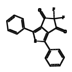 O=C1c2c(-c3ccccc3)sc(-c3ccccc3)c2C(=O)C1(F)F